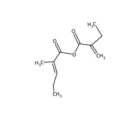 C=C(CC)C(=O)OC(=O)C(C)=CCC